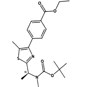 CCOC(=O)c1ccc(-c2nc([C@H](C)N(C)C(=O)OC(C)(C)C)sc2C)cc1